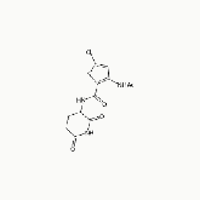 CC(=O)Nc1cc(Cl)sc1C(=O)NC1CCC(=O)NC1=O